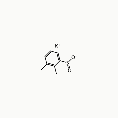 Cc1cccc(S(=O)[O-])c1C.[K+]